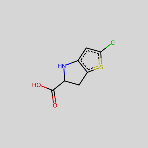 O=C(O)C1Cc2sc(Cl)cc2N1